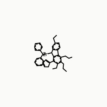 CCCc1c(CC)c(C2=CC=CC2)c2c(c1CCC)-c1ccc(CC)cc1[CH]2[Zr]=[C](c1ccccc1)c1ccccc1